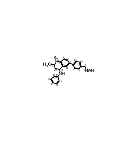 CNCc1ccc(-c2ccc3c(c2)C(Nc2ccccc2)CC(C)N3C(C)=O)cc1